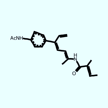 C=C/C(=C\C=C(/C)NC(=O)/C(C)=C/C)c1ccc(NC(C)=O)cc1